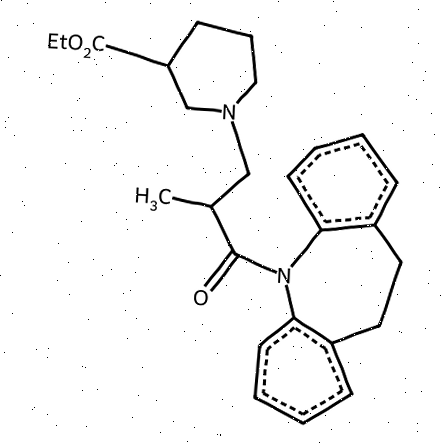 CCOC(=O)C1CCCN(CC(C)C(=O)N2c3ccccc3CCc3ccccc32)C1